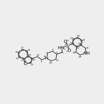 O=S(=O)(NCC1CCN(CCc2coc3ccccc23)CC1)c1cccc2c1CCNC2